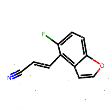 N#CC=Cc1c(F)ccc2occc12